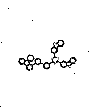 c1cc(-c2cccc(-c3cccc4c3C3(CCCCC3)c3ccccc3-4)c2)cc(-c2nc(-c3ccc4oc5ccccc5c4c3)nc(-c3ccc4oc5ccccc5c4c3)n2)c1